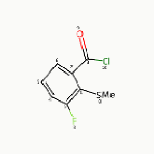 CSc1c(F)cccc1C(=O)Cl